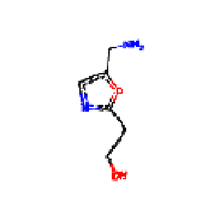 NCc1cnc(CCO)o1